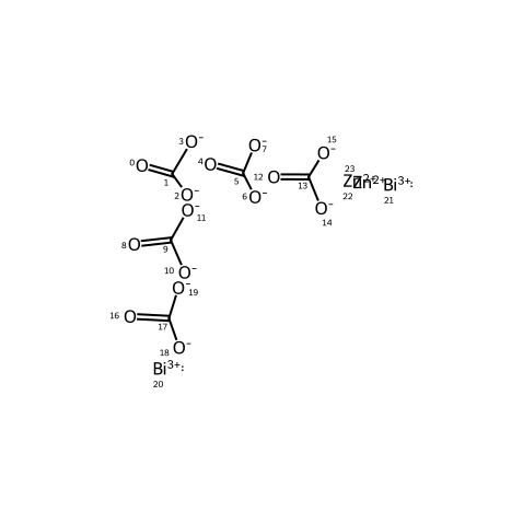 O=C([O-])[O-].O=C([O-])[O-].O=C([O-])[O-].O=C([O-])[O-].O=C([O-])[O-].[Bi+3].[Bi+3].[Zn+2].[Zn+2]